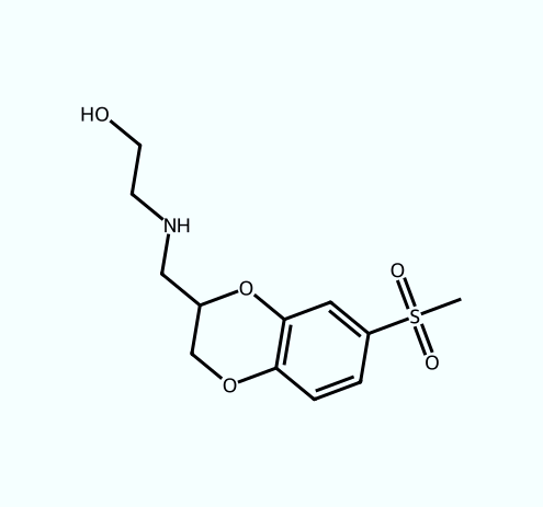 CS(=O)(=O)c1ccc2c(c1)OC(CNCCO)CO2